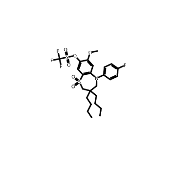 CCCCC1(CCCC)CN(c2ccc(F)cc2)c2cc(OC)c(OS(=O)(=O)C(F)(F)F)cc2S(=O)(=O)C1